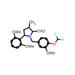 COc1cc(CN2C(c3c(OC)cccc3OC)CC(C)C2C=O)ccc1OC(F)F